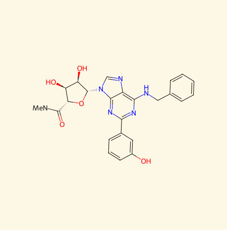 CNC(=O)[C@H]1O[C@@H](n2cnc3c(NCc4ccccc4)nc(-c4cccc(O)c4)nc32)[C@H](O)[C@@H]1O